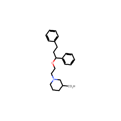 O=C(O)C1CCCN(CCOC(CCc2ccccc2)c2ccccc2)C1